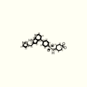 O=S1(=O)CCC(NS(=O)(=O)c2ccc(-c3ccnc4[nH]c(Cn5ccnn5)cc34)cc2)CC1